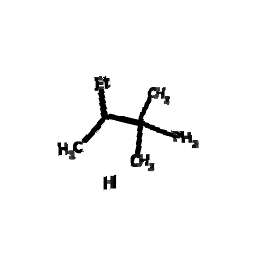 CCC(C)C(C)(C)P.I